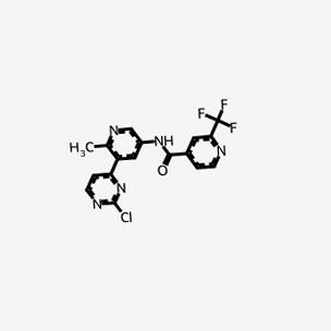 Cc1ncc(NC(=O)c2ccnc(C(F)(F)F)c2)cc1-c1ccnc(Cl)n1